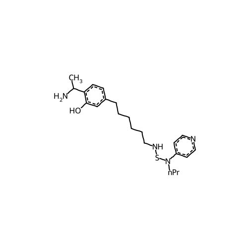 CCCN(SNCCCCCCc1ccc(C(C)N)c(O)c1)c1ccncc1